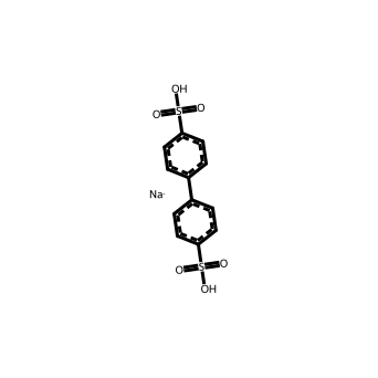 O=S(=O)(O)c1ccc(-c2ccc(S(=O)(=O)O)cc2)cc1.[Na]